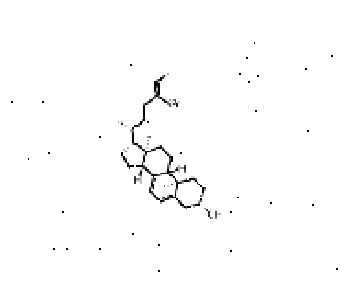 C/C=C(/CC[C@@H](C)[C@H]1CC[C@H]2C3=CC=C4C[C@@H](O)CC[C@]4(C)[C@H]3CC[C@]12C)C(C)C